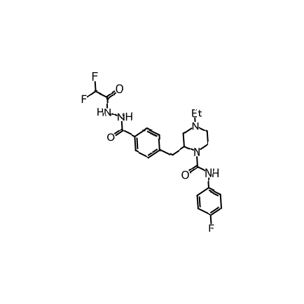 CCN1CCN(C(=O)Nc2ccc(F)cc2)C(Cc2ccc(C(=O)NNC(=O)C(F)F)cc2)C1